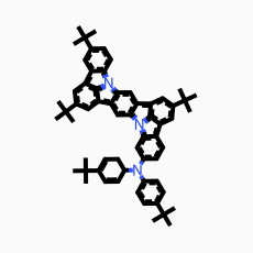 CC(C)(C)C1=CCC(N(c2ccc(C(C)(C)C)cc2)c2ccc3c4cc(C(C)(C)C)cc5c6cc7c(cc6n(c3c2)c45)c2cc(C(C)(C)C)cc3c4cc(C(C)(C)C)ccc4n7c32)C=C1